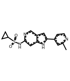 Cc1cc(-c2cc3cnc(NS(=O)(=O)C4CC4)cc3[nH]2)ccn1